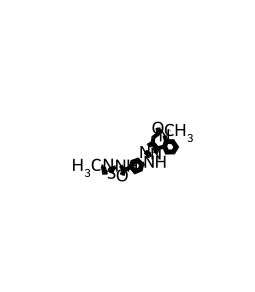 Cc1csc(NC(=O)c2ccc(Nc3ncc4c(n3)-c3ccccc3N(C)C(=O)C4)cc2)n1